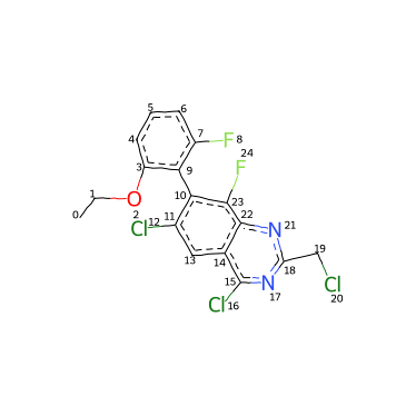 CCOc1cccc(F)c1-c1c(Cl)cc2c(Cl)nc(CCl)nc2c1F